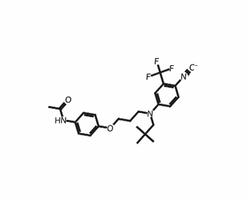 [C-]#[N+]c1ccc(N(CCCOc2ccc(NC(C)=O)cc2)CC(C)(C)C)cc1C(F)(F)F